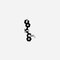 NCC(Cc1ccccc1)c1nnc(-c2ccc3cnccc3c2)s1